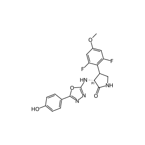 COc1cc(F)c(C2CNC(=O)[C@@H]2Nc2nnc(-c3ccc(O)cc3)o2)c(F)c1